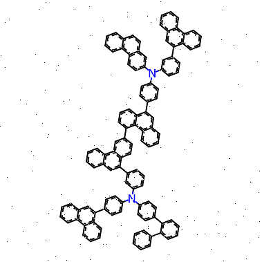 c1ccc(-c2ccccc2-c2ccc(N(c3ccc(-c4cc5ccccc5c5ccccc45)cc3)c3cccc(-c4cc5ccccc5c5cc(-c6cccc7c(-c8ccc(N(c9cccc(-c%10cc%11ccccc%11c%11ccccc%10%11)c9)c9ccc%10c(ccc%11ccccc%11%10)c9)cc8)cc8ccccc8c67)ccc45)c3)cc2)cc1